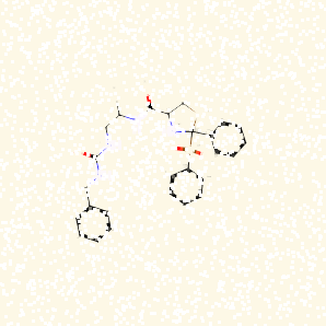 O=C(NCc1ccccc1)NCC(NC(=O)C1CSC(c2ccccc2)(S(=O)(=O)c2ccccc2)N1)C(=O)O